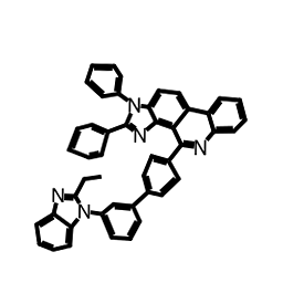 CCc1nc2ccccc2n1-c1cccc(-c2ccc(-c3nc4ccccc4c4ccc5c(nc(-c6ccccc6)n5-c5ccccc5)c34)cc2)c1